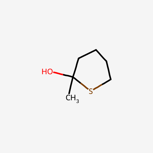 CC1(O)CCCCS1